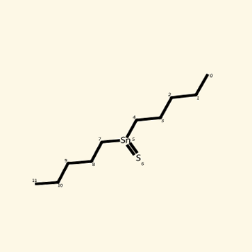 CCCC[CH2][Sn](=[S])[CH2]CCCC